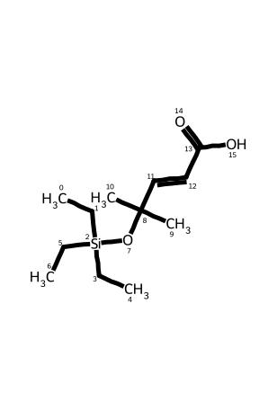 CC[Si](CC)(CC)OC(C)(C)C=CC(=O)O